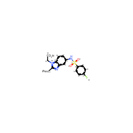 CCCC(C)c1nc2cc(NS(=O)(=O)c3ccc(F)cc3)ccc2n1CC(=O)O